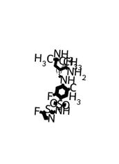 Cc1cc(S(=O)(=O)Nc2ncc(F)s2)c(F)cc1NC[C@H](CC(C)(C)N)[C@@H](C)N